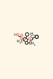 C/C(=C\C(=O)OC1C2C(C)CCC2C2(C)OC1(C1CCCCC1)CC2OC(=O)CO)c1ccccc1